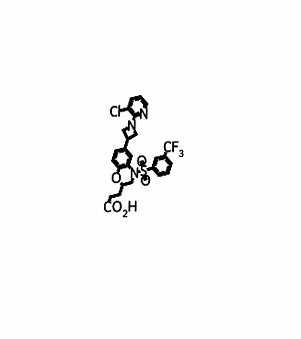 O=C(O)CCC1CN(S(=O)(=O)c2cccc(C(F)(F)F)c2)c2cc(C3CN(c4ncccc4Cl)C3)ccc2O1